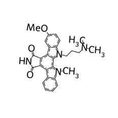 COc1ccc2c(c1)c1c3c(c4c5ccccc5n(C)c4c1n2CCCN(C)C)C(=O)NC3=O